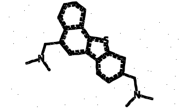 CN(C)Cc1ccc2c(c1)sc1c3ccccc3c(CN(C)C)cc21